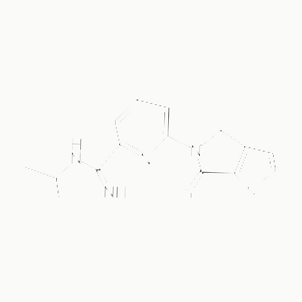 CC(C)NC(=N)c1cccc(N2Cc3ccsc3C2=O)n1